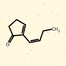 CC/C=C\C1=CCCC1=O